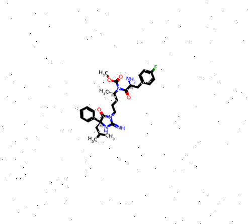 COC(=O)N(C(=O)[C@@H](N)Cc1ccc(F)cc1)[C@@H](C)CCCN1C(=N)N[C@](CC(C)C)(c2ccccc2)C1=O